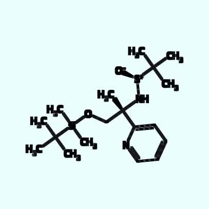 CC(C)(C)[S@+]([O-])N[C@@](C)(CO[Si](C)(C)C(C)(C)C)c1ccccn1